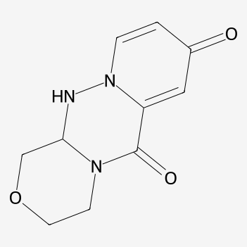 O=C1c2cc(=O)ccn2NC2COCCN12